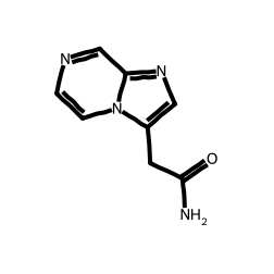 NC(=O)Cc1cnc2cnccn12